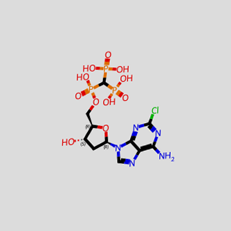 Nc1nc(Cl)nc2c1ncn2[C@H]1C[C@H](O)[C@@H](COP(=O)(O)C(P(=O)(O)O)P(=O)(O)O)O1